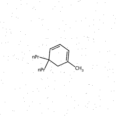 CCCC1(CCC)C=CC=C(C)C1